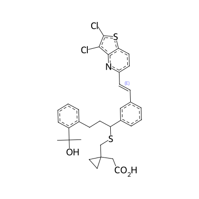 CC(C)(O)c1ccccc1CCC(SCC1(CC(=O)O)CC1)c1cccc(/C=C/c2ccc3sc(Cl)c(Cl)c3n2)c1